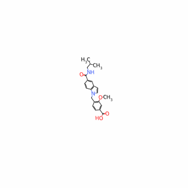 COc1cc(C(=O)O)ccc1Cn1ccc2cc(C(=O)NCC(C)C)ccc21